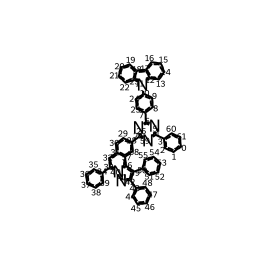 c1ccc(-c2nc(-c3ccc(-n4c5ccccc5c5ccccc54)cc3)nc(-c3ccc4cc(-c5ccccc5)n5nc(-c6ccccc6)c(-c6ccccc6)c5c4c3)n2)cc1